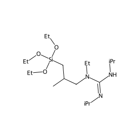 CCO[Si](CC(C)CN(CC)/C(=N\C(C)C)NC(C)C)(OCC)OCC